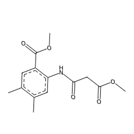 COC(=O)CC(=O)Nc1cc(C)c(C)cc1C(=O)OC